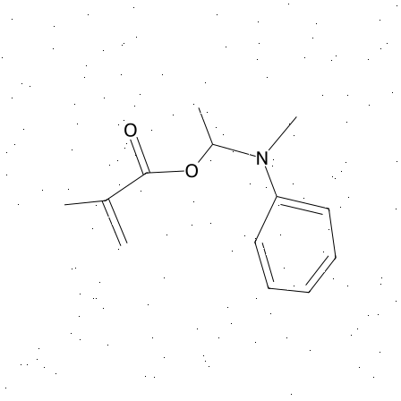 C=C(C)C(=O)OC(C)N(C)c1ccccc1